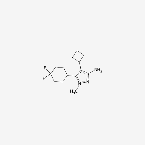 Cn1nc(N)c(C2CCC2)c1C1CCC(F)(F)CC1